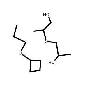 CC(O)COC(C)CO.CCCOC1CCC1